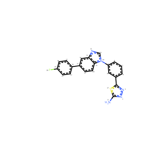 Nc1nnc(-c2cccc(-n3cnc4cc(-c5ccc(F)cc5)ccc43)c2)s1